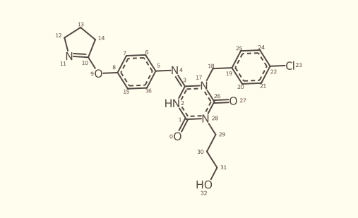 O=c1[nH]/c(=N\c2ccc(OC3=NCCC3)cc2)n(Cc2ccc(Cl)cc2)c(=O)n1CCCO